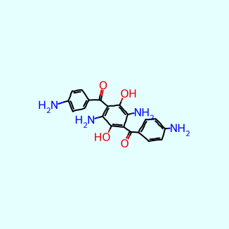 Nc1ccc(C(=O)c2c(N)c(O)c(C(=O)c3ccc(N)cc3)c(N)c2O)cc1